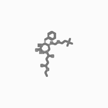 CCOC(=O)CCC(=O)N1C[C@@H](OCOCC[Si](C)(C)C)[C@@H](Cc2ccccc2)NC(=O)N1